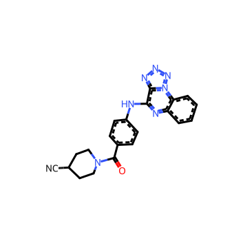 N#CC1CCN(C(=O)c2ccc(Nc3nc4ccccc4n4nnnc34)cc2)CC1